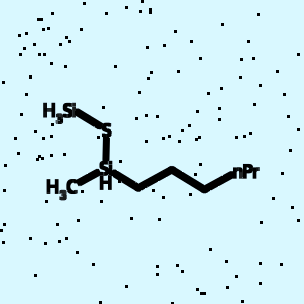 CCCCCC[SiH](C)S[SiH3]